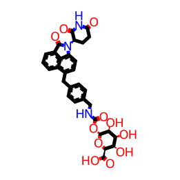 O=C1CC[C@@H](N2C(=O)c3cccc4c(Cc5ccc(CNC(=O)O[C@@H]6O[C@H](C(=O)O)[C@@H](O)[C@H](O)[C@H]6O)cc5)ccc2c34)C(=O)N1